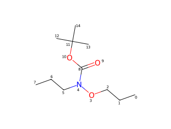 CCCON(CCC)C(=O)OC(C)(C)C